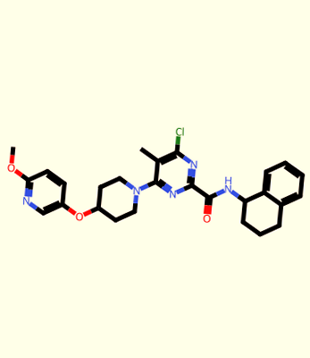 COc1ccc(OC2CCN(c3nc(C(=O)NC4CCCc5ccccc54)nc(Cl)c3C)CC2)cn1